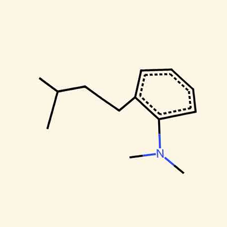 CC(C)CCc1ccccc1N(C)C